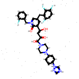 O=C(C=C(O)c1cc(Cc2c(F)ccc(F)c2F)cn(Cc2ccccc2F)c1=O)C(=O)N1CCN(c2ccc(-n3cncn3)cc2)CC1